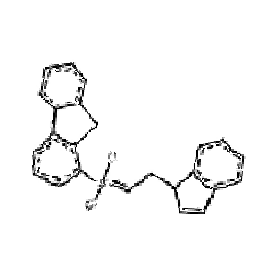 [Cl][Zr]([Cl])(=[CH]CC1C=Cc2ccccc21)[c]1cccc2c1Cc1ccccc1-2